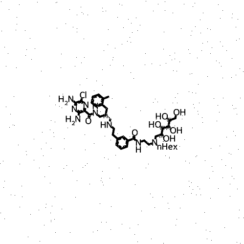 CCCCCCN(CCNC(=O)c1cccc(CCNC[C@H](CNC(=O)c2nc(Cl)c(N)nc2N)Cc2ccccc2C)c1)C[C@H](O)[C@@H](O)[C@H](O)[C@H](O)CO